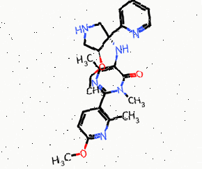 CCO[C@H]1CNC[C@@]1(Nc1c(C)nc(-c2ccc(OC)nc2C)n(C)c1=O)c1ccccn1